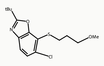 COCCCSc1c(Cl)ccc2nc(C(C)(C)C)oc12